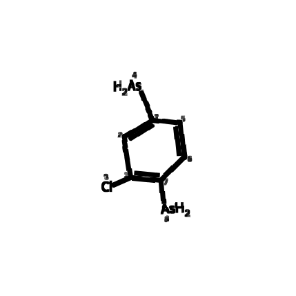 Clc1cc([AsH2])ccc1[AsH2]